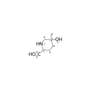 CC1(O)CCC(C(=O)O)NC1